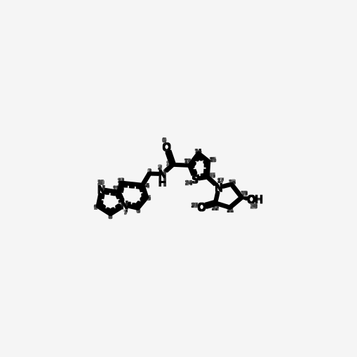 O=C(NCc1ccn2ccnc2c1)c1ccc(N2C[C@@H](O)CC2=O)s1